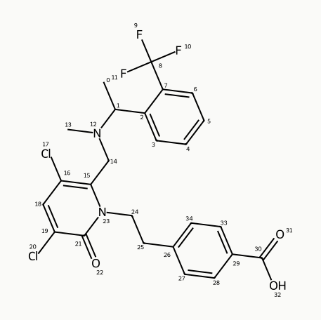 CC(c1ccccc1C(F)(F)F)N(C)Cc1c(Cl)cc(Cl)c(=O)n1CCc1ccc(C(=O)O)cc1